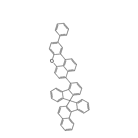 c1ccc(-c2ccc3c(c2)-c2cccc4c(-c5cccc6c5-c5ccccc5C65c6ccccc6-c6c5ccc5ccccc65)ccc(c24)O3)cc1